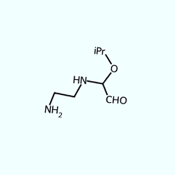 CC(C)OC(C=O)NCCN